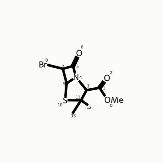 COC(=O)C1N2C(=O)C(Br)C2SC1(C)C